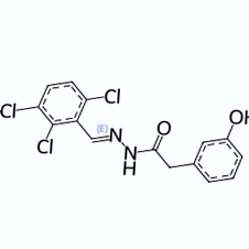 O=C(Cc1cccc(O)c1)N/N=C/c1c(Cl)ccc(Cl)c1Cl